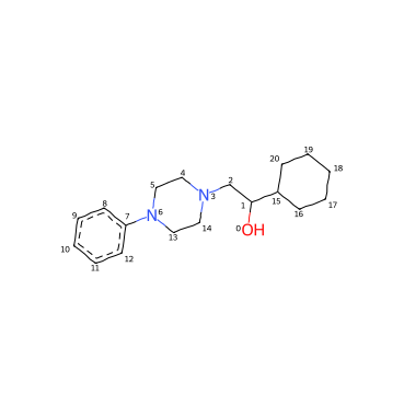 OC(CN1CCN(c2ccccc2)CC1)C1CCCCC1